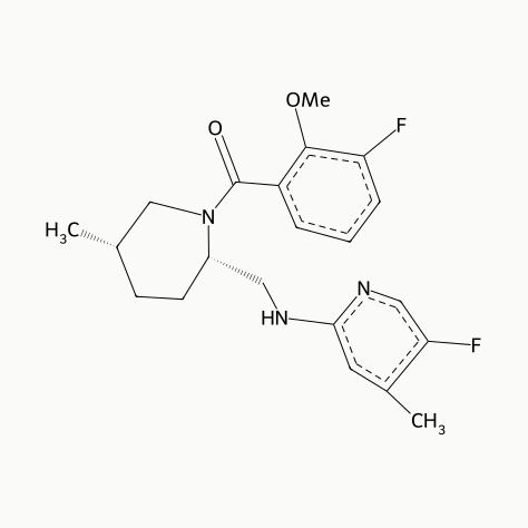 COc1c(F)cccc1C(=O)N1C[C@@H](C)CC[C@H]1CNc1cc(C)c(F)cn1